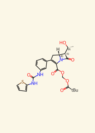 C[C@@H](O)[C@H]1C(=O)N2C(C(=O)OCOC(=O)C(C)(C)C)=C(c3cccc(NC(=O)Nc4cccs4)c3)C[C@H]12